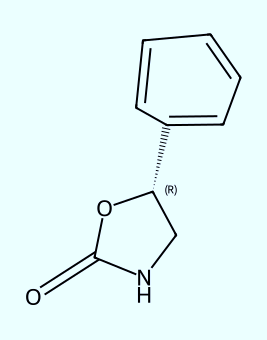 O=C1NC[C@@H](c2ccccc2)O1